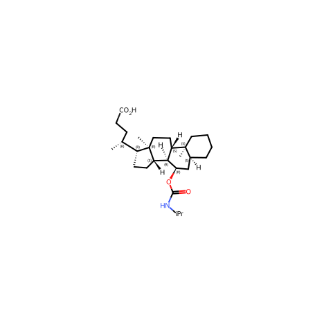 CC(C)NC(=O)O[C@@H]1C[C@@H]2CCCC[C@]2(C)[C@H]2CC[C@]3(C)[C@@H]([C@H](C)CCC(=O)O)CC[C@H]3[C@H]12